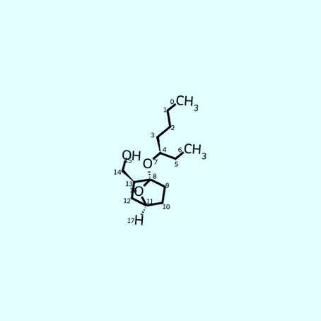 CCCC[C@@H](CC)O[C@@]12CC[C@@H](C[C@H]1CO)O2